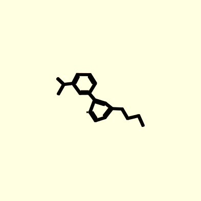 CCCCc1cc[c]c(-c2cccc(C(C)C)c2)c1